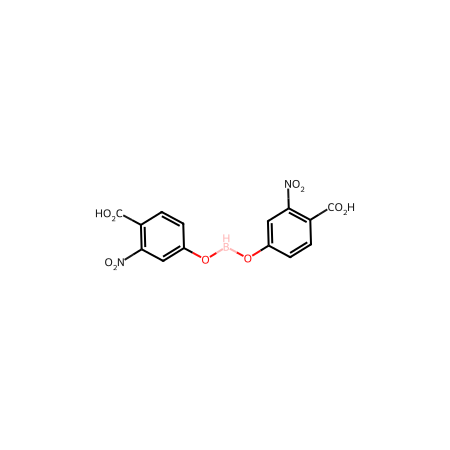 O=C(O)c1ccc(OBOc2ccc(C(=O)O)c([N+](=O)[O-])c2)cc1[N+](=O)[O-]